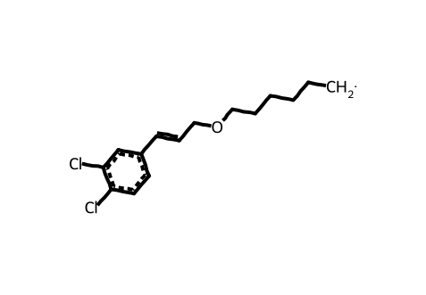 [CH2]CCCCCOC/C=C/c1ccc(Cl)c(Cl)c1